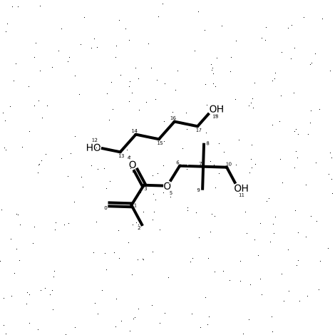 C=C(C)C(=O)OCC(C)(C)CO.OCCCCCO